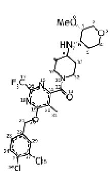 CO[C@@H]1COCC[C@@H]1NC1CCN(C(=O)c2nc(C(F)(F)F)nc(OCc3ccc(Cl)c(Cl)c3)c2C)CC1